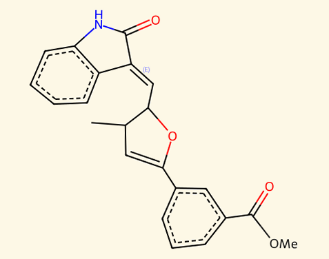 COC(=O)c1cccc(C2=CC(C)C(/C=C3/C(=O)Nc4ccccc43)O2)c1